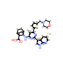 O=C(O)C1C2CCC(CC2)C1Nc1nc(-c2c[nH]c3ncc(F)cc23)nc(-c2ccc(CN3CCOCC3)s2)c1F